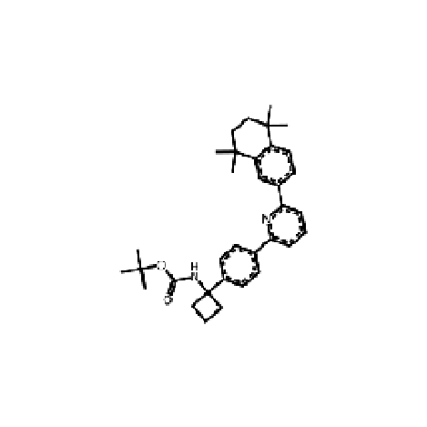 CC(C)(C)OC(=O)NC1(c2ccc(-c3cccc(-c4ccc5c(c4)C(C)(C)CCC5(C)C)n3)cc2)CCC1